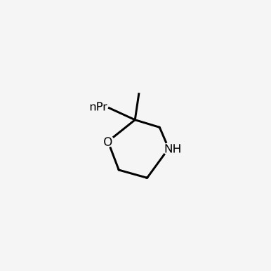 CCCC1(C)CNCCO1